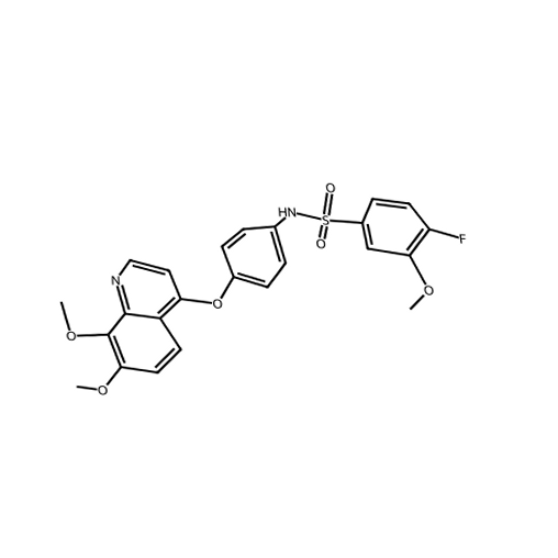 COc1cc(S(=O)(=O)Nc2ccc(Oc3ccnc4c(OC)c(OC)ccc34)cc2)ccc1F